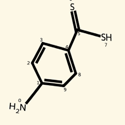 Nc1ccc(C(=S)S)cc1